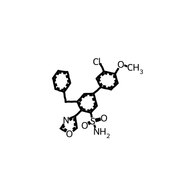 COc1ccc(-c2cc(Cc3ccccc3)c(-c3cocn3)c(S(N)(=O)=O)c2)cc1Cl